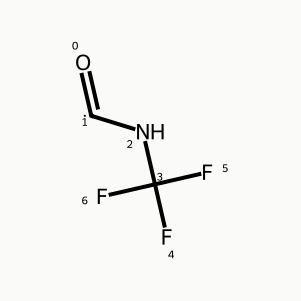 O=[C]NC(F)(F)F